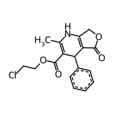 CC1=C(C(=O)OCCCl)C(c2ccccc2)C2=C(COC2=O)N1